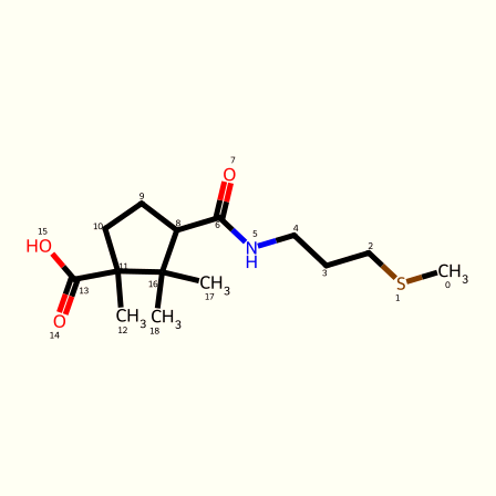 CSCCCNC(=O)C1CCC(C)(C(=O)O)C1(C)C